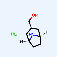 Cl.OC[C@H]1C[C@H]2CC[C@@H](C1)N2